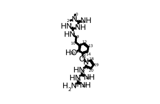 CN(C)C(=N)NC(=N)NCCc1cccc(On2cccc2NC(=N)NC(=N)N)c1O